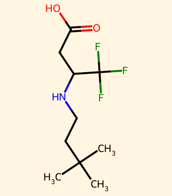 CC(C)(C)CCNC(CC(=O)O)C(F)(F)F